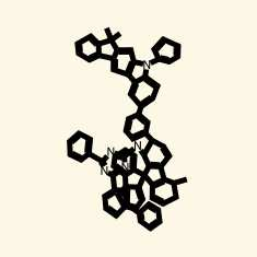 CC1CC=CC2=C1C1=C(C3C(C=C1)c1cc(-c4ccc5c(c4)c4cc6c(cc4n5-c4ccccc4)C(C)(C)c4ccccc4-6)ccc1N3c1nc(-c3ccccc3)nc(-c3cccc(-c4ccccc4)c3)n1)C21c2ccccc2-c2ccccc21